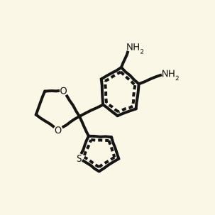 Nc1ccc(C2(c3cccs3)OCCO2)cc1N